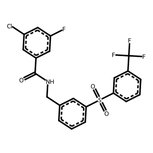 O=C(NCc1cccc(S(=O)(=O)c2cccc(C(F)(F)F)c2)c1)c1cc(F)cc(Cl)c1